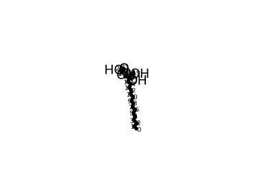 CCCCCCCCCCCCCCCCC(O)(CO)COP(=O)(O)O